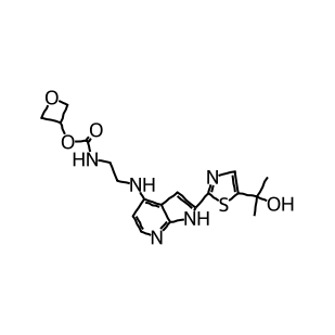 CC(C)(O)c1cnc(-c2cc3c(NCCNC(=O)OC4COC4)ccnc3[nH]2)s1